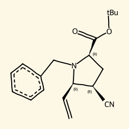 C=C[C@@H]1[C@H](C#N)C[C@H](C(=O)OC(C)(C)C)N1Cc1ccccc1